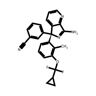 Cc1c(OC(F)(F)C2CC2)cccc1[C@]1(c2cccc(C#N)c2)N=C(N)c2ncccc21